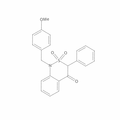 COc1ccc(CN2c3ccccc3C(=O)C(c3ccccc3)S2(=O)=O)cc1